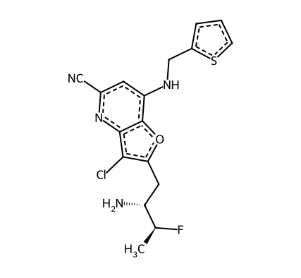 C[C@H](F)[C@H](N)Cc1oc2c(NCc3cccs3)cc(C#N)nc2c1Cl